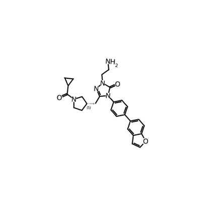 NCCn1nc(C[C@@H]2CCN(C(=O)C3CC3)C2)n(-c2ccc(-c3ccc4occc4c3)cc2)c1=O